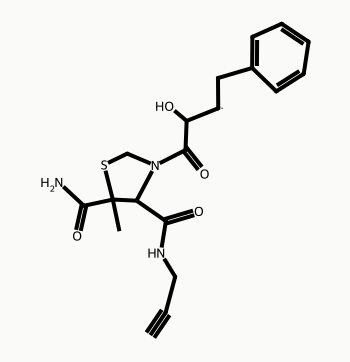 C#CCNC(=O)C1N(C(=O)C(O)[CH]Cc2ccccc2)CSC1(C)C(N)=O